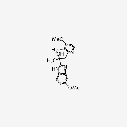 COc1ccc2[nH]c(C(C)(O)Cc3nccc(OC)c3C)nc2c1